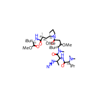 CC[C@H](C)[C@@H]([C@@H](CC(=O)N1CCC[C@H]1[C@H](OC)[C@@H](C)C(=O)N[C@H](C(=O)OC)[C@@H](C)CC)OC)N(C)C(=O)[C@@H](NC(=O)[C@H](C(C)C)N(C)C)C(C)N=[N+]=[N-]